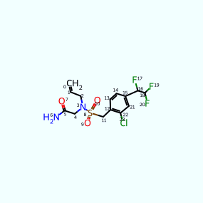 C=CCN(CC(N)=O)S(=O)(=O)Cc1ccc(C(F)C(F)F)cc1Cl